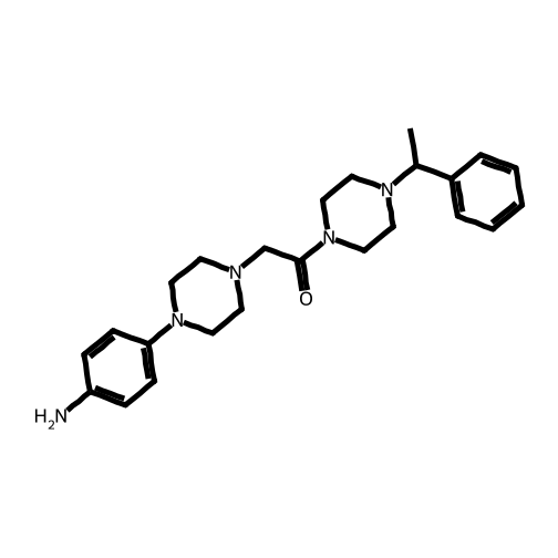 CC(c1ccccc1)N1CCN(C(=O)CN2CCN(c3ccc(N)cc3)CC2)CC1